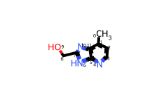 Cc1ccnc2[nH]c(CO)nc12